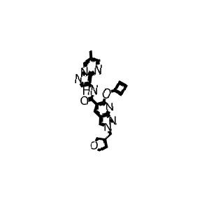 Cc1cnc2c(NC(=O)c3cc4cn(C[C@H]5CCOC5)nc4nc3OC3CCC3)cnn2c1